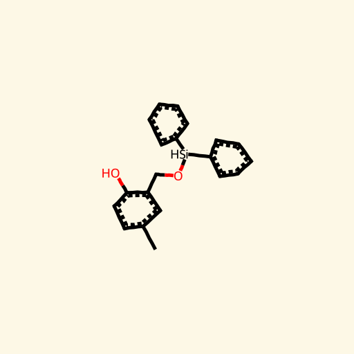 Cc1ccc(O)c(CO[SiH](c2ccccc2)c2ccccc2)c1